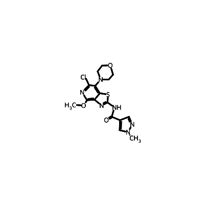 COc1nc(Cl)c(N2CCOCC2)c2sc(NC(=O)c3cnn(C)c3)nc12